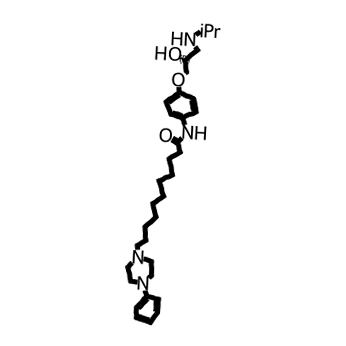 CC(C)NC[C@@H](O)COc1ccc(NC(=O)CCCCCCCCCCN2CCN(c3ccccc3)CC2)cc1